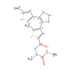 Cc1sc(C(=O)CN(C)C(=O)OC(C)(C)C)cc1C1=C(c2csc(C=O)c2)CCC1